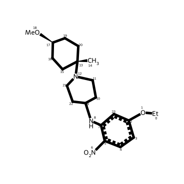 CCOc1ccc([N+](=O)[O-])c(NC2CCN([C@]3(C)CC[C@@H](OC)CC3)CC2)c1